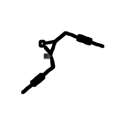 CC#CCC1O[C@@H]1CC#CC